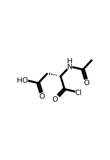 CC(=O)N[C@@H](CC(=O)O)C(=O)Cl